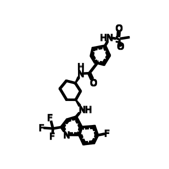 CS(=O)(=O)Nc1ccc(C(=O)N[C@@H]2CCC[C@H](Nc3cc(C(F)(F)F)nc4ccc(F)cc34)C2)cc1